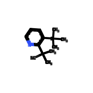 CC(C)(C#N)c1ncccc1[Si](C)(C)C